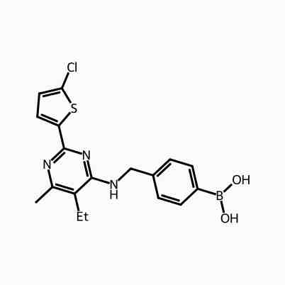 CCc1c(C)nc(-c2ccc(Cl)s2)nc1NCc1ccc(B(O)O)cc1